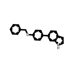 [c]1cc(-c2ccc3cc[nH]c3c2)ccc1OCc1ccccc1